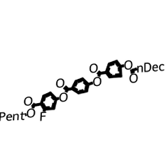 CCCCCCCCCCC(=O)Oc1ccc(C(=O)Oc2ccc(C(=O)Oc3ccc(C(=O)OC(C)CCC)c(F)c3)cc2)cc1